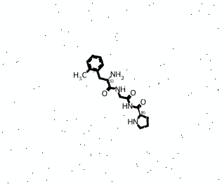 Cc1ccccc1C[C@H](N)C(=O)NCC(=O)NC(=O)[C@H]1CCCN1